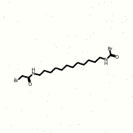 O=C(Br)NCCCCCCCCCCCCNC(=O)CBr